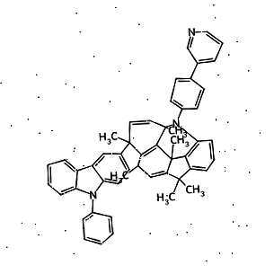 CC1C=C2C(C)(C)c3cccc4c3C2(C)C2=C1C(C)(c1ccc3c(c1)c1ccccc1n3-c1ccccc1)C=CC2(C)N4c1ccc(-c2cccnc2)cc1